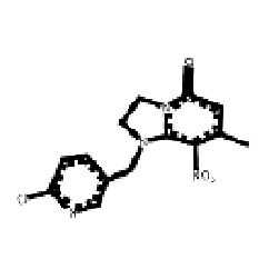 Cc1cc(=O)n2c(c1[N+](=O)[O-])N(Cc1ccc(Cl)nc1)CC2